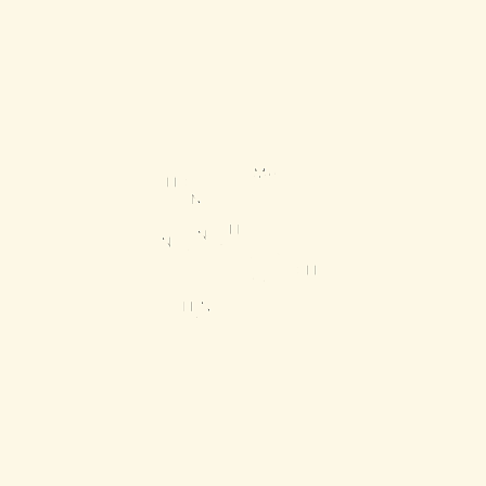 COCCN(C)c1cnc2cc(CN)c(-c3ccc(C)cc3C)cn12